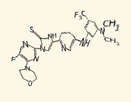 CN(C)c1cc(Nc2ccc(-c3cn(-c4ncc(F)c(N5CCOCC5)n4)c(=S)[nH]3)nc2)cc(C(F)(F)F)c1